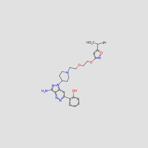 CC(C)C(C(=O)O)c1cc(OCCOCCN2CCC(n3nc(N)c4nnc(-c5ccccc5O)cc43)CC2)no1